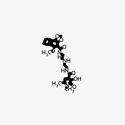 COc1c(C(=O)NCCNCCNC(=O)c2cc(C)n(C)c(=O)c2O)c2c(c3c1C1C=CC3C1)OCO2